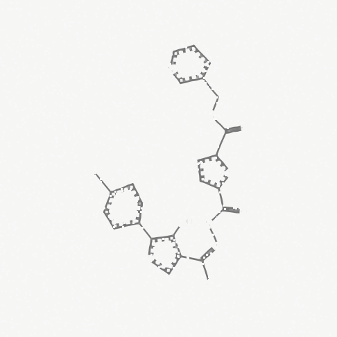 CC(=NNC(=O)c1ccc(C(=O)NCc2cccnc2)s1)c1csc(-c2ccc(Cl)cc2)c1O